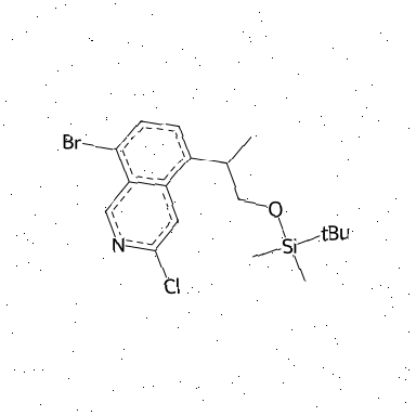 CC(CO[Si](C)(C)C(C)(C)C)c1ccc(Br)c2cnc(Cl)cc12